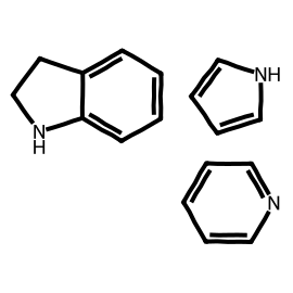 c1cc[nH]c1.c1ccc2c(c1)CCN2.c1ccncc1